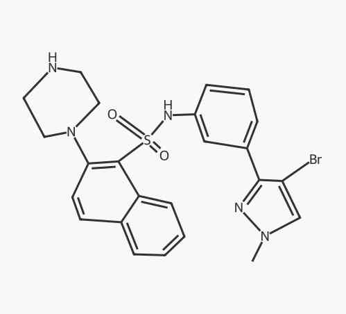 Cn1cc(Br)c(-c2cccc(NS(=O)(=O)c3c(N4CCNCC4)ccc4ccccc34)c2)n1